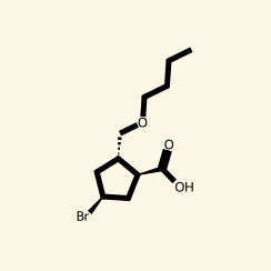 CCCCOC[C@H]1C[C@H](Br)C[C@@H]1C(=O)O